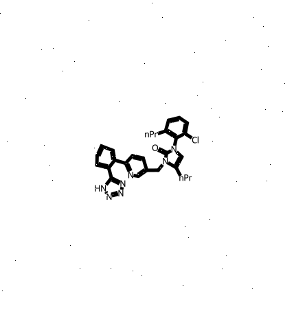 CCCc1cccc(Cl)c1-n1cc(CCC)n(Cc2ccc(-c3ccccc3-c3nnn[nH]3)nc2)c1=O